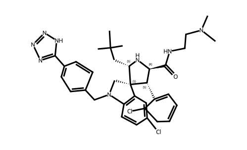 CN(C)CCNC(=O)[C@@H]1N[C@@H](CC(C)(C)C)[C@@]2(CN(Cc3ccc(-c4nnn[nH]4)cc3)c3ccc(Cl)cc32)[C@H]1C1=CC=CCC1Cl